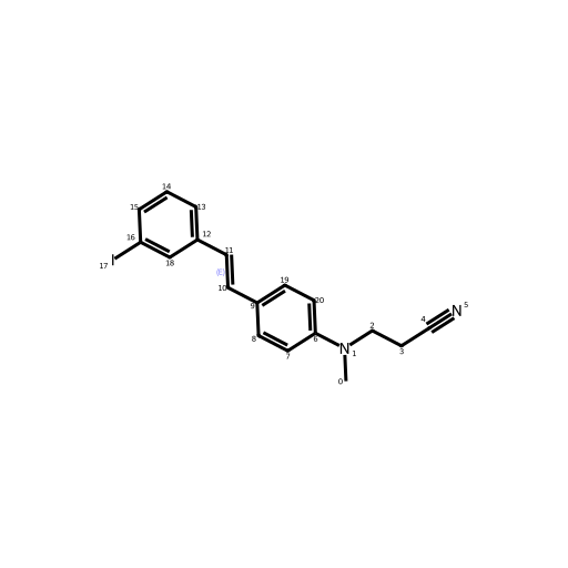 CN(CCC#N)c1ccc(/C=C/c2cccc(I)c2)cc1